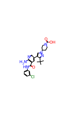 CC(C)(C)c1nn(C2CCN(C(=O)O)CC2)cc1-c1cnc(N)c(C(=O)Nc2cccc(Cl)c2)c1